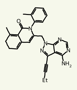 CCC#Cc1nn(Cc2cc3c(c(=O)n2-c2ccccc2C)=C(C)CCC=3)c2ncnc(N)c12